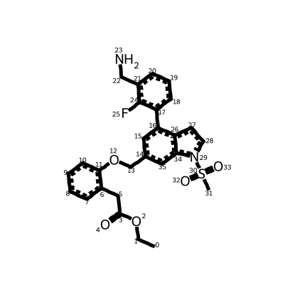 CCOC(=O)Cc1ccccc1OCc1cc(-c2cccc(CN)c2F)c2ccn(S(C)(=O)=O)c2c1